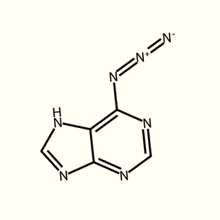 [N-]=[N+]=Nc1ncnc2nc[nH]c12